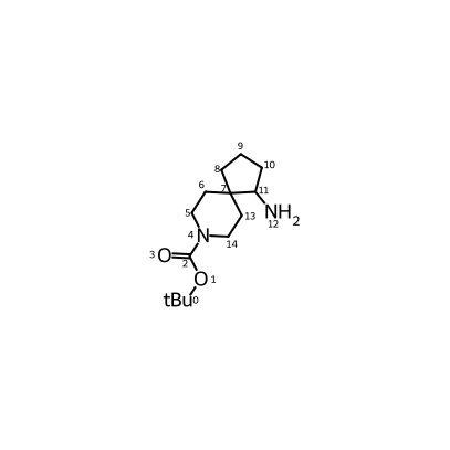 CC(C)(C)OC(=O)N1CCC2(CCCC2N)CC1